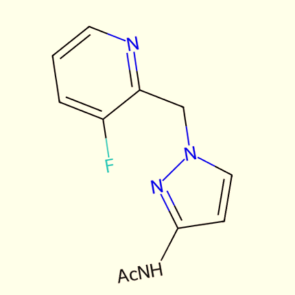 CC(=O)Nc1ccn(Cc2ncccc2F)n1